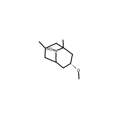 CO[C@@H]1CC2CC(C)CC(C)(C1)N2O